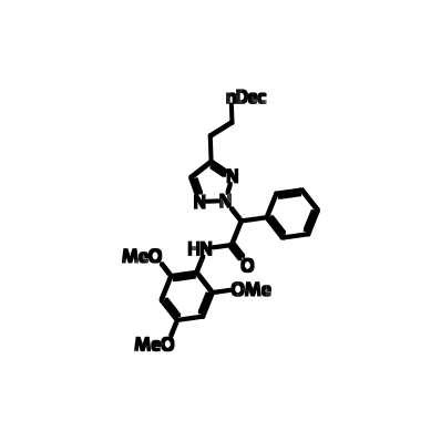 CCCCCCCCCCCCc1cnn(C(C(=O)Nc2c(OC)cc(OC)cc2OC)c2ccccc2)n1